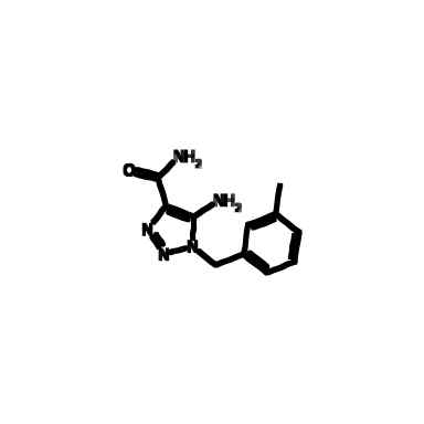 Cc1cccc(Cn2nnc(C(N)=O)c2N)c1